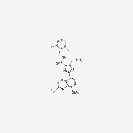 COc1ccc(-c2nc(C(=O)NCc3c(C)cccc3F)c(CN)o2)c2ccc(C(F)(F)F)nc12